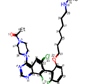 CCC(=O)N1CCN(c2ncnc3c(F)c(-c4c(F)cccc4OCCCCCCCNC=O)c(Cl)cc23)CC1